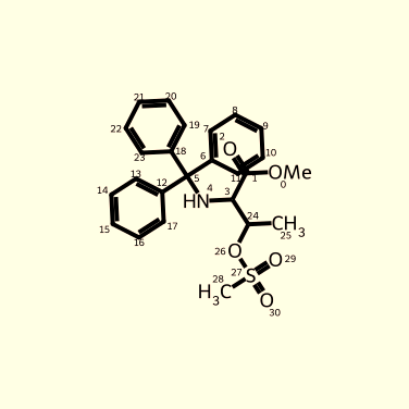 COC(=O)C(NC(c1ccccc1)(c1ccccc1)c1ccccc1)C(C)OS(C)(=O)=O